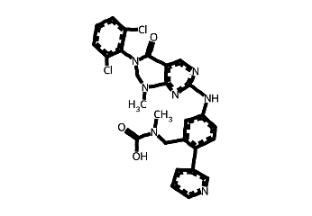 CN(Cc1cc(Nc2ncc3c(n2)N(C)CN(c2c(Cl)cccc2Cl)C3=O)ccc1-c1cccnc1)C(=O)O